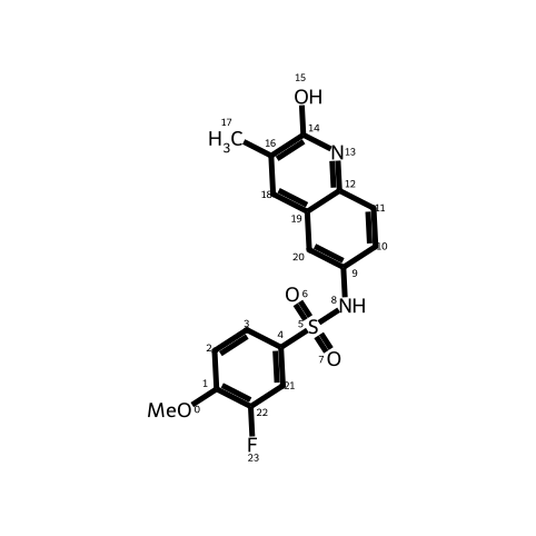 COc1ccc(S(=O)(=O)Nc2ccc3nc(O)c(C)cc3c2)cc1F